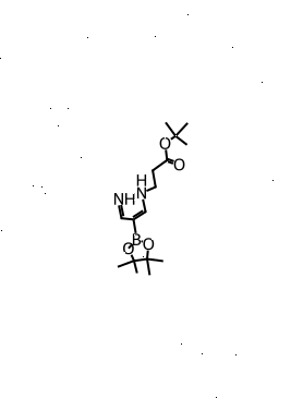 CC(C)(C)OC(=O)CCN/C=C(\C=N)B1OC(C)(C)C(C)(C)O1